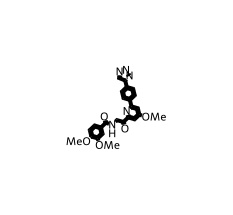 COc1cc(C(=O)CNC(=O)c2ccc(OC)c(OC)c2)nc(-c2ccc(C3C=NN=N3)cc2)c1